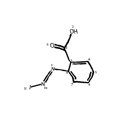 O=C(O)c1ccccc1N=NI